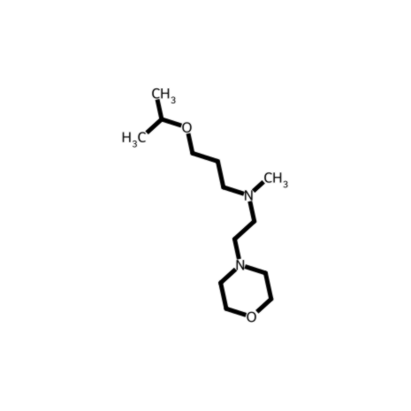 CC(C)OCCCN(C)CCN1CCOCC1